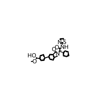 COC(O)c1ccc(-c2ccc3c(c2)C(=O)N([C@@H](C(=O)Nc2nccs2)c2ccccc2)C3)cc1